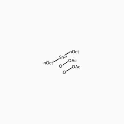 CC(=O)O[O-].CC(=O)O[O-].CCCCCCC[CH2][Sn+2][CH2]CCCCCCC